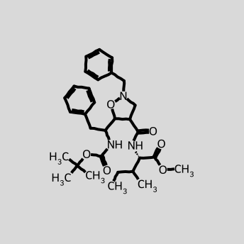 CCC(C)[C@H](NC(=O)C1CN(Cc2ccccc2)OC1C(Cc1ccccc1)NC(=O)OC(C)(C)C)C(=O)OC